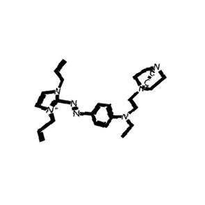 C=CCn1cc[n+](CC=C)c1N=Nc1ccc(N(CC)CC[N+]23CCN(CC2)CC3)cc1